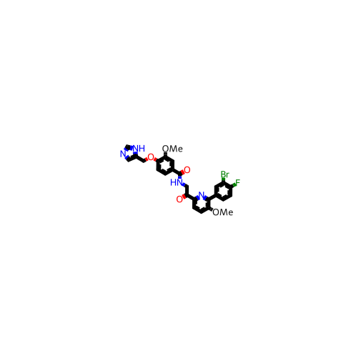 COc1cc(C(=O)NCC(=O)c2ccc(OC)c(-c3ccc(F)c(Br)c3)n2)ccc1OCc1cnc[nH]1